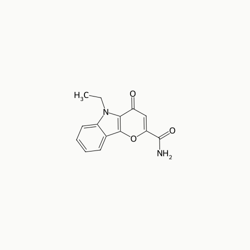 CCn1c2ccccc2c2oc(C(N)=O)cc(=O)c21